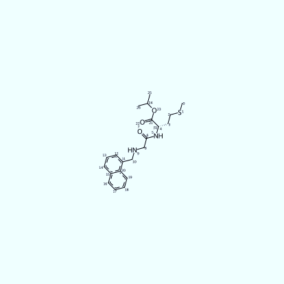 CSCC[C@H](NC(=O)CNCc1cccc2ccccc12)C(=O)OC(C)C